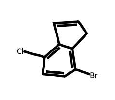 Clc1ccc(Br)c2c1C=CC2